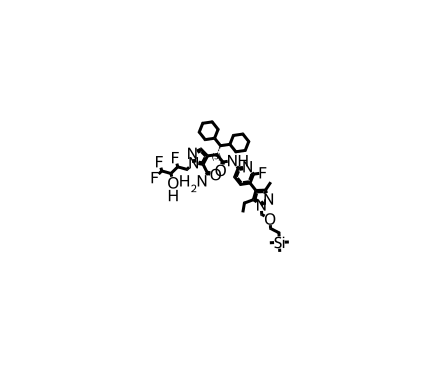 CCc1c(-c2ccc(NC(=O)[C@H](c3cnn(CC(F)C(O)C(F)F)c3C(N)=O)C(C3CCCCC3)C3CCCCC3)nc2F)c(C)nn1COCC[Si](C)(C)C